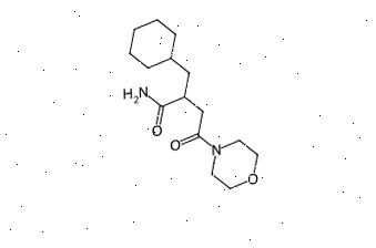 NC(=O)C(CC(=O)N1CCOCC1)CC1CCCCC1